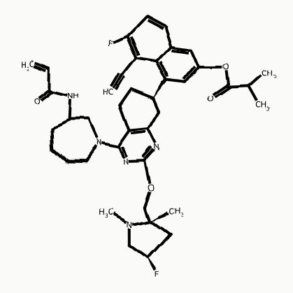 C#Cc1c(F)ccc2cc(OC(=O)C(C)C)cc([C@@H]3CCc4c(nc(OC[C@]5(C)C[C@@H](F)CN5C)nc4N4CCCCC(NC(=O)C=C)C4)C3)c12